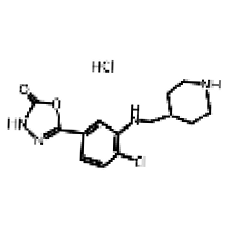 Cl.O=c1[nH]nc(-c2ccc(Cl)c(NCC3CCNCC3)c2)o1